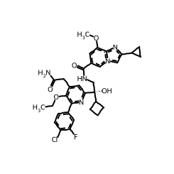 CCOc1c(CC(N)=O)cc([C@@](O)(CNC(=O)c2cc(OC)c3nc(C4CC4)cn3c2)C2CCC2)nc1-c1ccc(Cl)c(F)c1